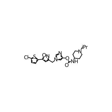 CC(C)N1CCC(NC(=O)Oc2cn(Cc3cc(-c4ccc(Cl)s4)on3)cn2)CC1